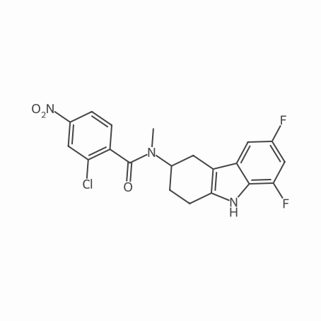 CN(C(=O)c1ccc([N+](=O)[O-])cc1Cl)C1CCc2[nH]c3c(F)cc(F)cc3c2C1